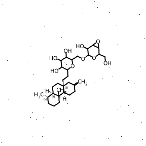 C=C1CC[C@@H]2[C@](CCC3OC(COC4OC(CO)C5OC5C4O)C(O)C(O)C3O)(CC[C@@H]3[C@@H](C)CCC[C@]32C)C1